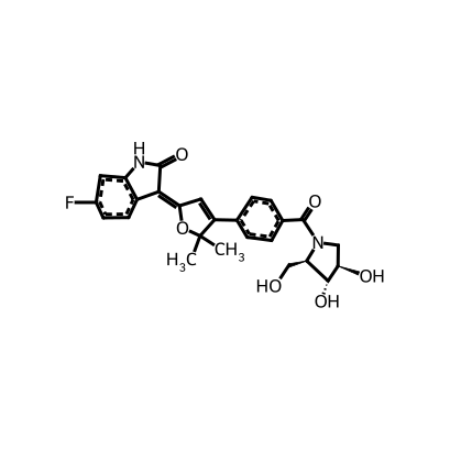 CC1(C)O/C(=C2/C(=O)Nc3cc(F)ccc32)C=C1c1ccc(C(=O)N2C[C@@H](O)[C@H](O)[C@H]2CO)cc1